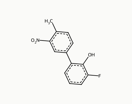 Cc1ccc(-c2cccc(F)c2O)cc1[N+](=O)[O-]